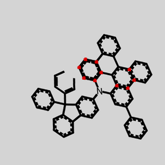 C/C=C\C(=C/C)C1(c2ccccc2)c2ccccc2-c2ccc(N(c3cc(-c4ccccc4)cc(-c4ccccc4)c3)c3ccccc3-c3ccccc3-c3ccccc3-c3ccccc3)cc21